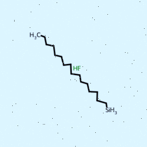 CCCCCCCCCCCCCCCC[SiH3].F